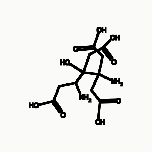 NC(CC(=O)O)C(O)(CC(=O)O)C(N)(CC(=O)O)CC(=O)O